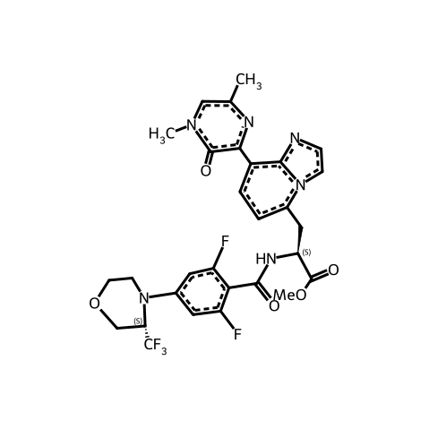 COC(=O)[C@H](Cc1ccc(-c2nc(C)cn(C)c2=O)c2nccn12)NC(=O)c1c(F)cc(N2CCOC[C@H]2C(F)(F)F)cc1F